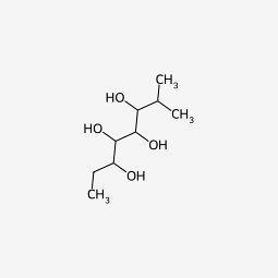 CCC(O)C(O)C(O)C(O)C(C)C